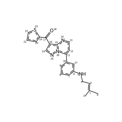 CC(C)=CCNc1cccc(-c2ccnc3c(C(=O)c4cccs4)cnn23)c1